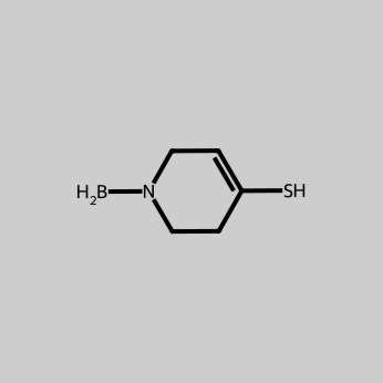 BN1CC=C(S)CC1